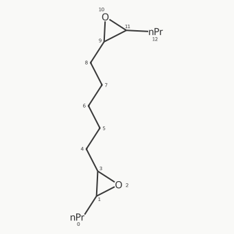 CCCC1OC1CCCCCC1OC1CCC